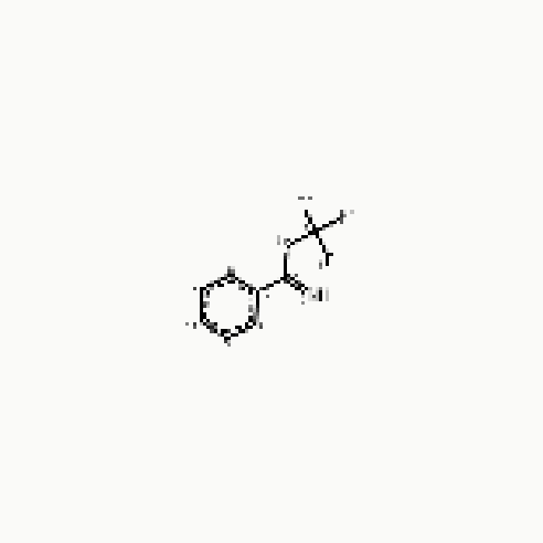 N=C(SC(F)(F)F)c1ccccc1